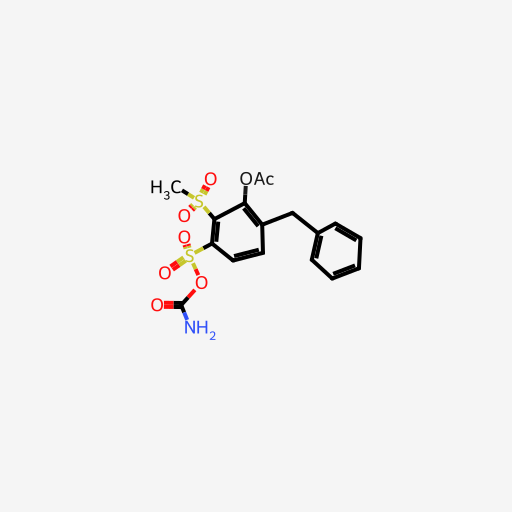 CC(=O)Oc1c(Cc2ccccc2)ccc(S(=O)(=O)OC(N)=O)c1S(C)(=O)=O